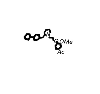 COc1cc(C(C)=O)ccc1OCCCN1CCCCC1Cc1ccc(-c2ccccc2)cc1